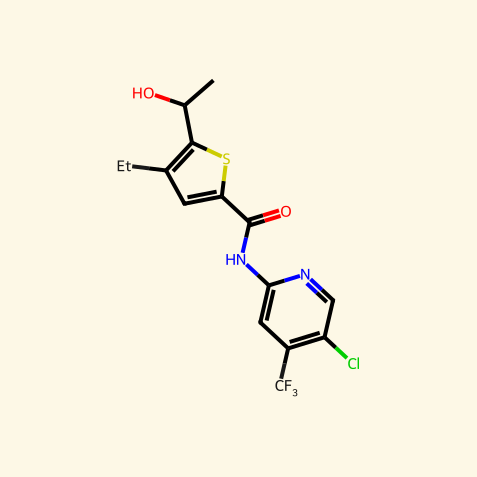 CCc1cc(C(=O)Nc2cc(C(F)(F)F)c(Cl)cn2)sc1C(C)O